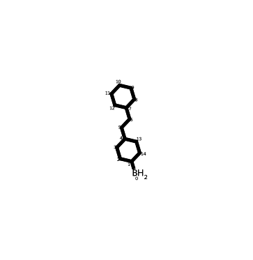 BC1CCC(CCC2CCCCC2)CC1